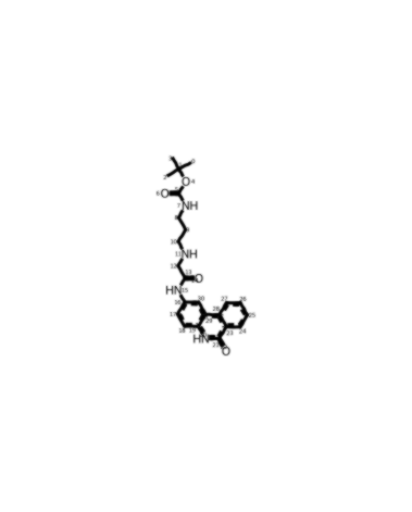 CC(C)(C)OC(=O)NCCCNCC(=O)Nc1ccc2[nH]c(=O)c3ccccc3c2c1